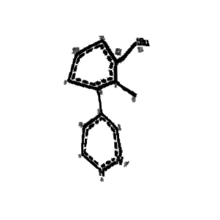 Cc1c(-c2ccnnc2)cccc1C(C)(C)C